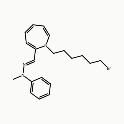 CN(/N=C/C1=CC=CC=CN1CCCCCCBr)c1ccccc1